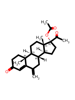 C=C1C[C@@H]2[C@H](CC[C@@]3(C)[C@H]2CC[C@]3(OC(C)=O)C(C)=O)[C@@]2(C)CCC(=O)C=C12